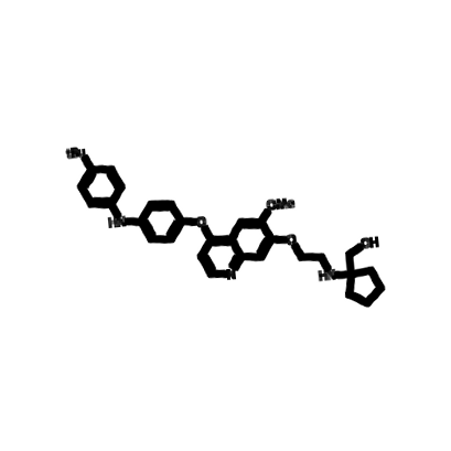 COc1cc2c(Oc3ccc(Nc4ccc(C(C)(C)C)cc4)cc3)ccnc2cc1OCCNC1(CO)CCCC1